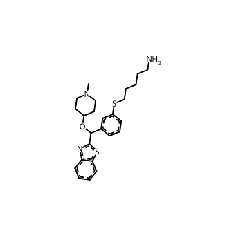 CN1CCC(OC(c2cccc(SCCCCCN)c2)c2nc3ccccc3s2)CC1